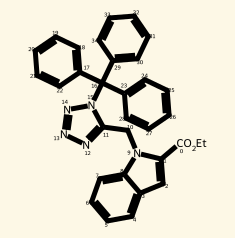 CCOC(=O)c1cc2ccccc2n1Cc1nnnn1C(c1ccccc1)(c1ccccc1)c1ccccc1